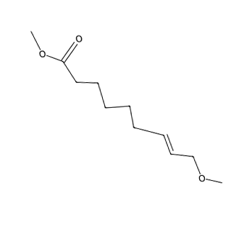 COC/C=C/CCCCCC(=O)OC